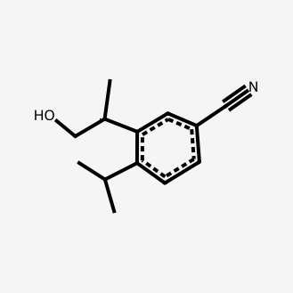 C[C](CO)c1cc(C#N)ccc1C(C)C